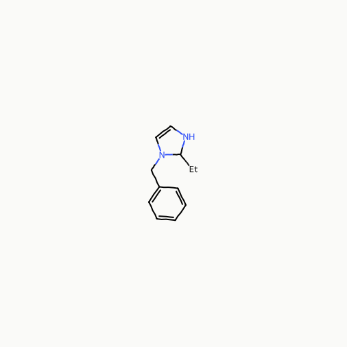 CCC1NC=CN1Cc1ccccc1